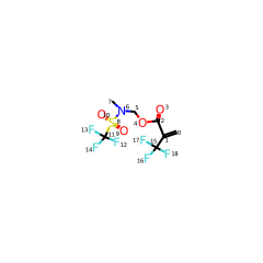 C=C(C(=O)OCN(C)S(=O)(=O)C(F)(F)F)C(F)(F)F